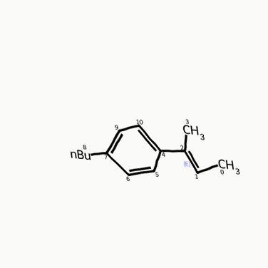 C/C=C(\C)c1ccc(CCCC)cc1